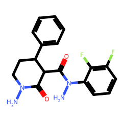 NN1CCC(c2ccccc2)C(C(=O)N(N)c2cccc(F)c2F)C1=O